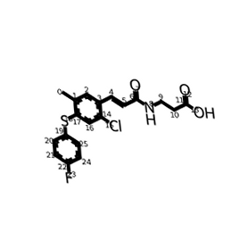 Cc1cc(C=CC(=O)NCCC(=O)O)c(Cl)cc1Sc1ccc(F)cc1